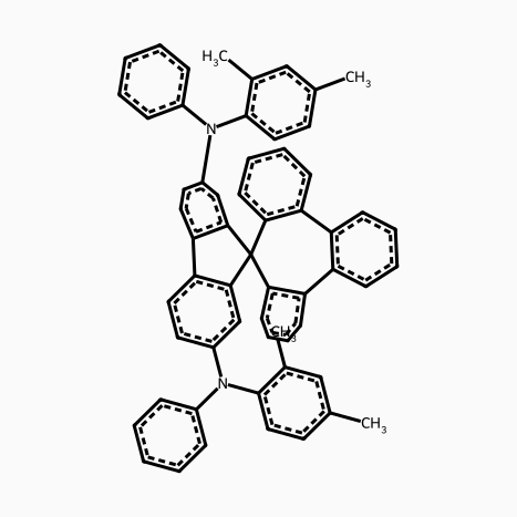 Cc1ccc(N(c2ccccc2)c2ccc3c(c2)C2(c4ccccc4-c4ccccc4-c4ccccc42)c2cc(N(c4ccccc4)c4ccc(C)cc4C)ccc2-3)c(C)c1